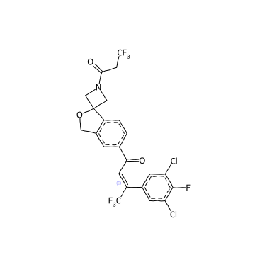 O=C(/C=C(\c1cc(Cl)c(F)c(Cl)c1)C(F)(F)F)c1ccc2c(c1)COC21CN(C(=O)CC(F)(F)F)C1